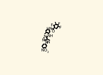 Cc1ccc(NC(=O)c2cc(F)c(F)c(C)c2F)cc1Nc1ncnc2c1cnn2-c1ccc([N+](=O)[O-])cc1